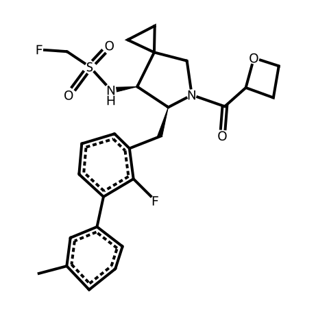 Cc1cccc(-c2cccc(C[C@H]3[C@@H](NS(=O)(=O)CF)C4(CC4)CN3C(=O)C3CCO3)c2F)c1